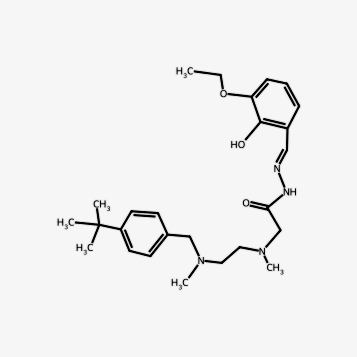 CCOc1cccc(C=NNC(=O)CN(C)CCN(C)Cc2ccc(C(C)(C)C)cc2)c1O